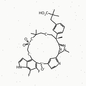 Cn1nc2nc1-c1cc(ccn1)[S+]([O-])c1c(F)c(F)c3[nH]ccc3c1CCS(=O)(=O)CC(C)(C)CCC[C@]2(C)c1cccc(CC(C)(C)C(=O)O)c1